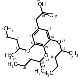 CCCC(C)Oc1cc(CC(=O)O)cc(OC(C)CCC)c1OC(C)CCC